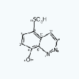 O=S(=O)(O)c1ccc(O)c2nnccc12